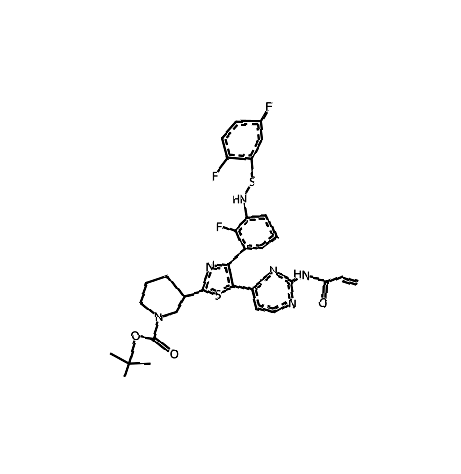 C=CC(=O)Nc1nccc(-c2sc(C3CCCN(C(=O)OC(C)(C)C)C3)nc2-c2cccc(NSc3cc(F)ccc3F)c2F)n1